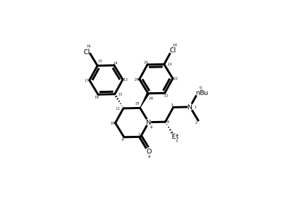 CCCCN(C)C[C@H](CC)N1C(=O)CC[C@H](c2ccc(Cl)cc2)[C@H]1c1ccc(Cl)cc1